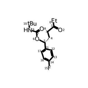 CCC(=O)CC[C@@H](OC(=O)NC(C)(C)C)c1ccc(F)cc1